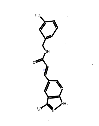 Nc1n[nH]c2ccc(/C=C/C(=O)NCc3cccc(O)c3)cc12